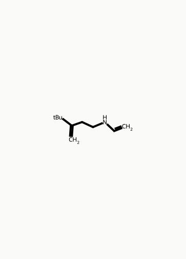 C=CNCCC(=C)C(C)(C)C